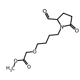 COC(=O)COCCCCN1C(=O)CCC1C=O